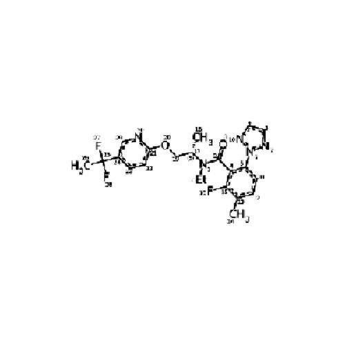 CCN(C(=O)c1c(-n2nccn2)ccc(C)c1F)[C@@H](C)COc1ccc(C(C)(F)F)cn1